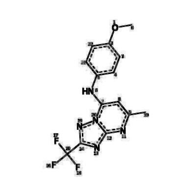 COc1ccc(Nc2cc(C)nc3nc(C(F)(F)F)nn23)cc1